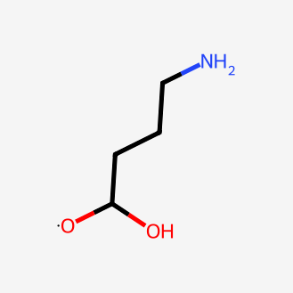 NCCCC([O])O